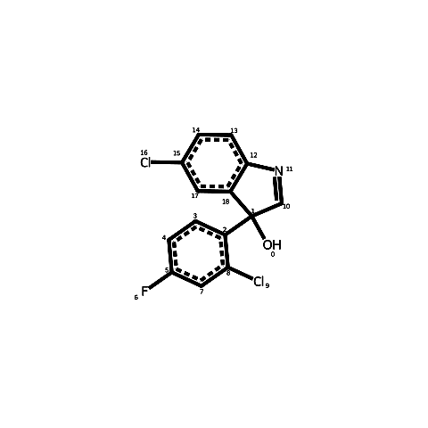 OC1(c2ccc(F)cc2Cl)C=Nc2ccc(Cl)cc21